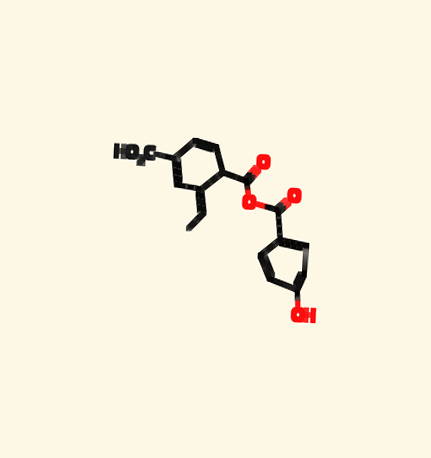 CC=C1C=C(C(=O)O)C=CC1C(=O)OC(=O)c1ccc(O)cc1